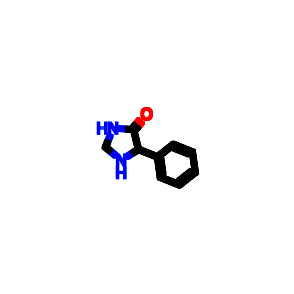 O=C1NCNC1c1ccccc1